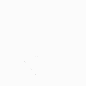 CC(C)(F)OC(F)(F)C(F)(F)CCS(=O)(=O)N=[N+]=[N-]